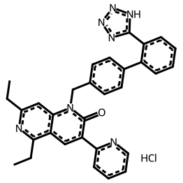 CCc1cc2c(cc(-c3ccccn3)c(=O)n2Cc2ccc(-c3ccccc3-c3nnn[nH]3)cc2)c(CC)n1.Cl